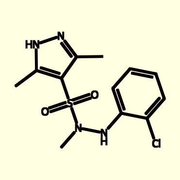 Cc1n[nH]c(C)c1S(=O)(=O)N(C)Nc1ccccc1Cl